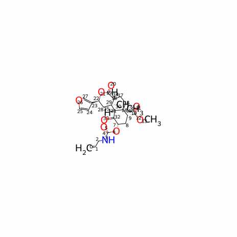 C=CCNC(=O)O[C@H]1C[C@@H](C(=O)OC)[C@]2(C)CC[C@H]3C(=O)O[C@H](c4ccoc4)C[C@]3(C)[C@H]2C1=O